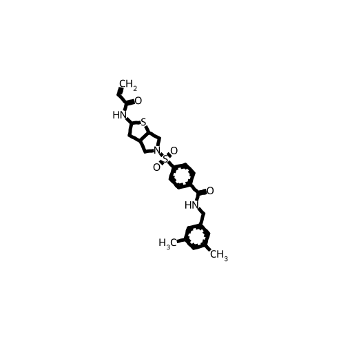 C=CC(=O)NC1CC2CN(S(=O)(=O)c3ccc(C(=O)NCc4cc(C)cc(C)c4)cc3)CC2S1